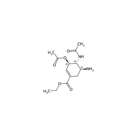 CCOC(=O)C1=C[C@@H](OC(C)=O)[C@H](NC(C)=O)[C@@H](N)C1